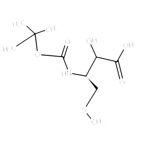 CSC[C@@H](NC(=O)OC(C)(C)C)C(O)C(=O)O